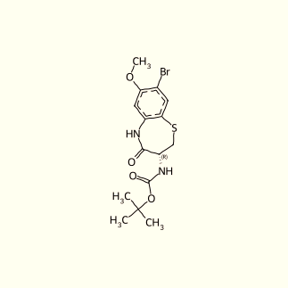 COc1cc2c(cc1Br)SC[C@H](NC(=O)OC(C)(C)C)C(=O)N2